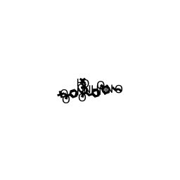 COCCN1CCN(c2ccc(CC(NC(=O)OC(C)(C)C)C(=O)Nc3ccc(C(=O)OC(C)(C)C)cc3)cc2)C(=O)C1